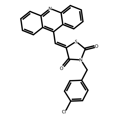 O=C1S/C(=C\c2c3ccccc3nc3ccccc23)C(=O)N1Cc1ccc(Cl)cc1